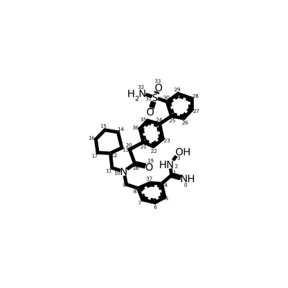 N=C(NO)c1cccc(CN(CC2CCCCC2)C(=O)Cc2ccc(-c3ccccc3S(N)(=O)=O)cc2)c1